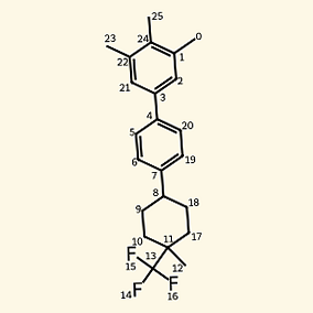 Cc1cc(-c2ccc(C3CCC(C)(C(F)(F)F)CC3)cc2)cc(C)c1C